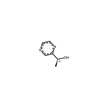 C[C@H](O)c1cnccn1